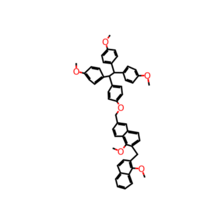 COc1ccc(C(c2ccc(OC)cc2)C(c2ccc(OC)cc2)c2ccc(OCc3ccc4c(OC)c(Cc5ccc6ccccc6c5OC)ccc4c3)cc2)cc1